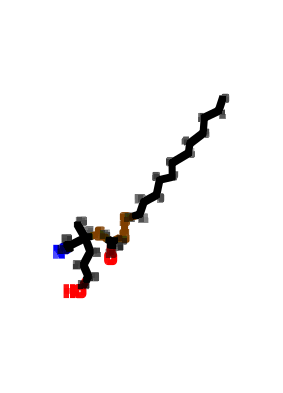 CCCCCCCCCCCCSSC(=O)SC(C)(C#N)CCCO